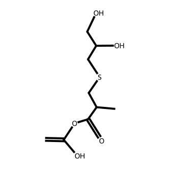 C=C(O)OC(=O)C(C)CSCC(O)CO